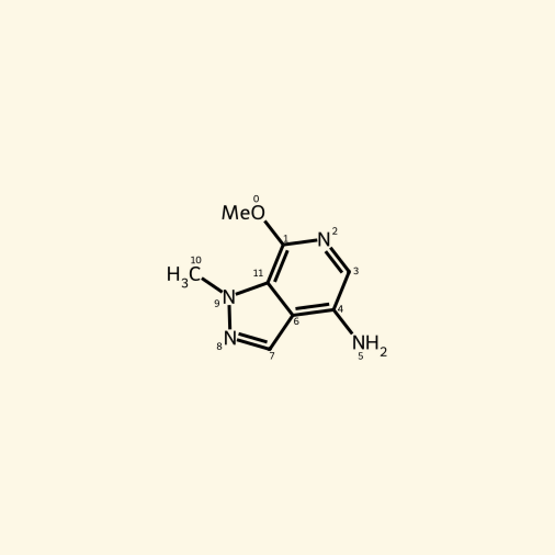 COc1ncc(N)c2cnn(C)c12